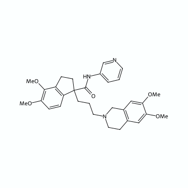 COc1cc2c(cc1OC)CN(CCCC1(C(=O)Nc3cccnc3)CCc3c1ccc(OC)c3OC)CC2